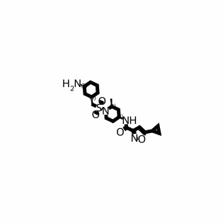 C[C@H]1C[C@@H](NC(=O)c2cc(C3CC3)on2)CCN1S(=O)(=O)C[C@@H]1CCC[C@@H](N)C1